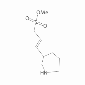 COS(=O)(=O)CC=CC1CCCNC1